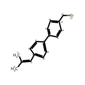 CC(C)=Cc1ccc(-c2ccc(CBr)cc2)cc1